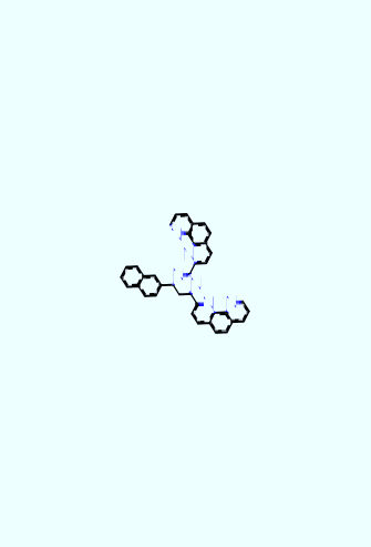 c1ccc2cc(C3CC(c4ccc5ccc6cccnc6c5n4)=NC(c4ccc5ccc6cccnc6c5n4)=N3)ccc2c1